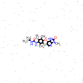 Cc1c(C)c(Oc2ccnc3c2[nH]c(=O)n3C)c(C)c(C)c1NC(=O)NC(C)C